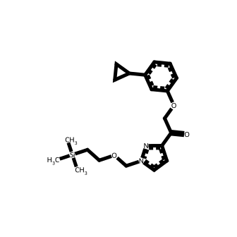 C[Si](C)(C)CCOCn1ccc(C(=O)COc2cccc(C3CC3)c2)n1